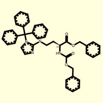 O=C(N[C@@H](CCNc1nccn1C(c1ccccc1)(c1ccccc1)c1ccccc1)C(=O)OCc1ccccc1)OCc1ccccc1